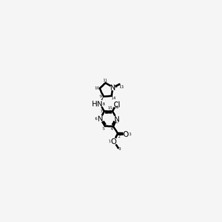 COC(=O)c1cnc(N[C@@H]2CCN(C)C2)c(Cl)n1